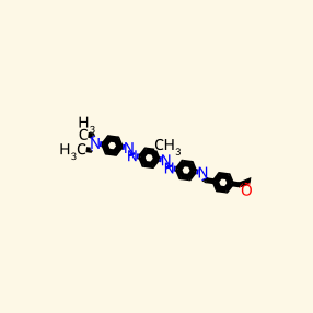 CCN(CC)c1ccc(N=Nc2ccc(N=Nc3ccc(N=Cc4ccc(C5CO5)cc4)cc3)c(C)c2)cc1